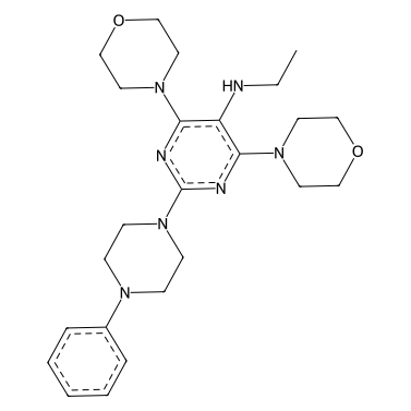 CCNc1c(N2CCOCC2)nc(N2CCN(c3ccccc3)CC2)nc1N1CCOCC1